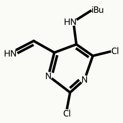 CCC(C)Nc1c(Cl)nc(Cl)nc1C=N